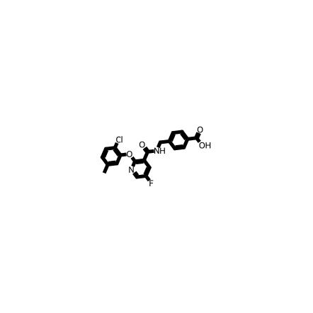 Cc1ccc(Cl)c(Oc2ncc(F)cc2C(=O)NCc2ccc(C(=O)O)cc2)c1